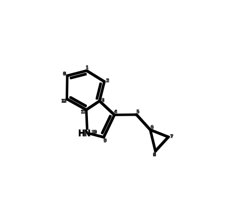 c1ccc2c(CC3CC3)c[nH]c2c1